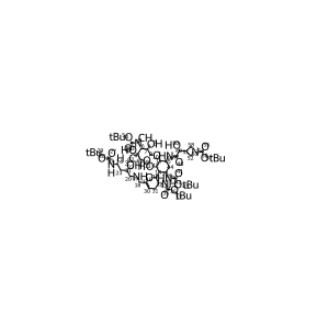 CN(C(=O)OC(C)(C)C)[C@@H]1[C@@H](O)[C@@H](O[C@@H]2[C@@H](O)[C@H](C3OC(CNCC(O)CCNC(=O)OC(C)(C)C)=CC[C@H]3NC(=O)OC(C)(C)C)[C@@H](NC(=O)OC(C)(C)C)C[C@H]2NC(=O)C(O)C2CN(C(=O)OC(C)(C)C)C2)OC[C@]1(C)O